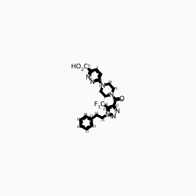 O=C(O)c1ccc(N2CCN(C(=O)c3nnn(CCc4ccccc4)c3C(F)(F)F)CC2)nn1